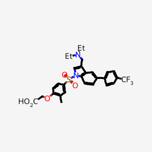 CCN(CC)Cc1cn(S(=O)(=O)c2ccc(OCC(=O)O)c(C)c2)c2ccc(-c3ccc(C(F)(F)F)cc3)cc12